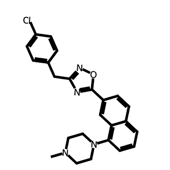 CN1CCN(c2cccc3ccc(-c4nc(Cc5ccc(Cl)cc5)no4)cc23)CC1